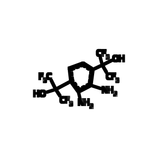 Nc1c(C(O)(C(F)(F)F)C(F)(F)F)ccc(C(O)(C(F)(F)F)C(F)(F)F)c1N